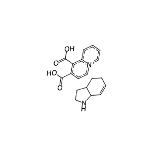 C1=CC2NCCC2CC1.O=C(O)c1cc[n+]2ccccc2c1C(=O)O